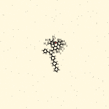 Bc1c(B)c(B)c(-c2c(B)c(B)c(-c3nc(-c4ccccc4)nc(-c4ccc(-c5ccc(-c6ccccc6)cc5)cc4)n3)c3sc4c(B)c(B)c(B)c(B)c4c23)c(B)c1B